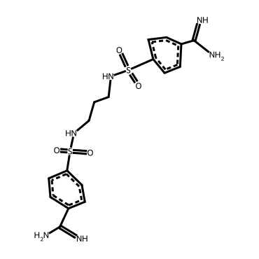 N=C(N)c1ccc(S(=O)(=O)NCCCNS(=O)(=O)c2ccc(C(=N)N)cc2)cc1